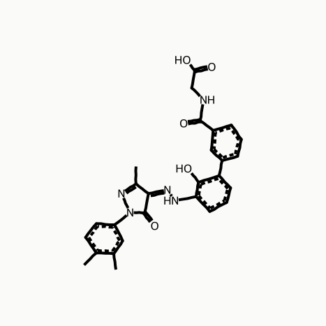 CC1=NN(c2ccc(C)c(C)c2)C(=O)C1=NNc1cccc(-c2cccc(C(=O)NCC(=O)O)c2)c1O